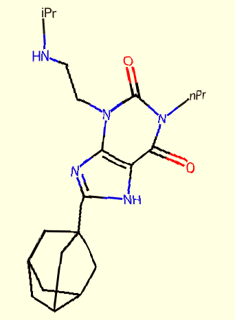 CCCn1c(=O)c2[nH]c(C34CC5CC(C3)C(C5)C4)nc2n(CCNC(C)C)c1=O